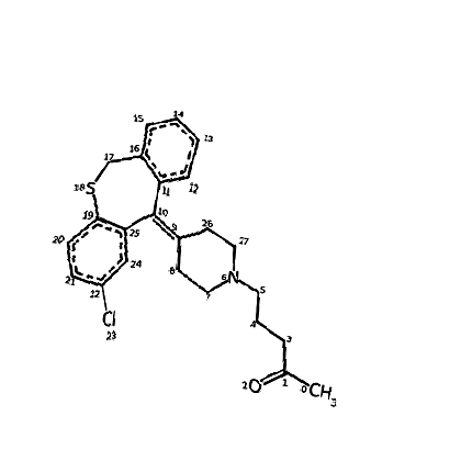 CC(=O)CCCN1CCC(=C2c3ccccc3CSc3ccc(Cl)cc32)CC1